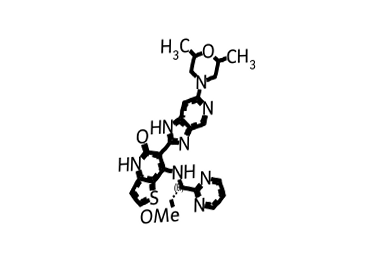 COC[C@H](Nc1c(-c2nc3cnc(N4CC(C)OC(C)C4)cc3[nH]2)c(=O)[nH]c2ccsc12)c1ncccn1